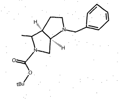 CC1[C@H]2CCN(Cc3ccccc3)[C@H]2CN1C(=O)OC(C)(C)C